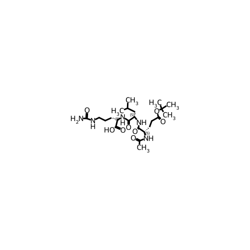 CC(=O)N[C@@H](CCC(=O)OC(C)(C)C)C(=O)N[C@@H](CC(C)C)C(=O)N[C@@H](CCCNC(N)=O)C(=O)O